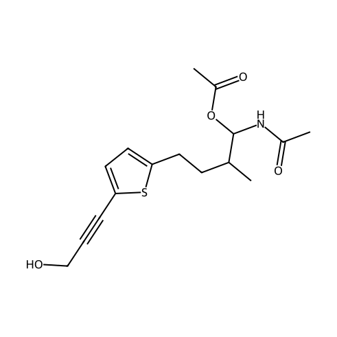 CC(=O)NC(OC(C)=O)C(C)CCc1ccc(C#CCO)s1